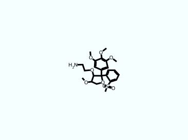 COc1cc(C2(c3ccccc3S(C)(=O)=O)OCC(OC)C2OCCN)cc(OC)c1OC